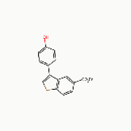 CCOC(=O)c1ccc2scc(-c3ccc(O)cc3)c2c1